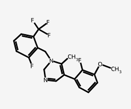 COc1cccc(C2=C(C)N(Cc3c(F)cccc3C(F)(F)F)CN=C2)c1F